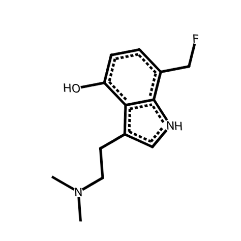 CN(C)CCc1c[nH]c2c(CF)ccc(O)c12